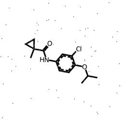 CC(C)Oc1ccc(NC(=O)C2(C)CC2)cc1Cl